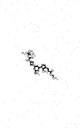 CCOC(=O)C=Cc1cnn(-c2cc(N3CC(NC(=O)OC(C)(C)C)C3)nc(N)n2)c1C